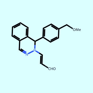 COCc1ccc(C2c3ccccc3C=NN2C=CC=O)cc1